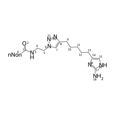 CCCCCCCCCC(=O)NCCn1cc(CCCCCc2c[nH]c(N)n2)nn1